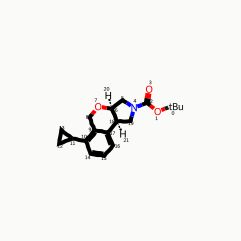 CC(C)(C)OC(=O)N1C[C@@H]2OCc3c(C4CC4)cccc3[C@@H]2C1